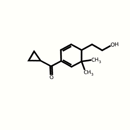 CC1(C)C=C(C(=O)C2CC2)C=CC1CCO